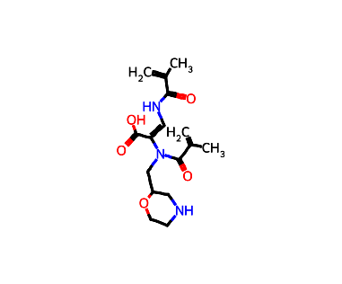 C=C(C)C(=O)NC=C(C(=O)O)N(CC1CNCCO1)C(=O)C(=C)C